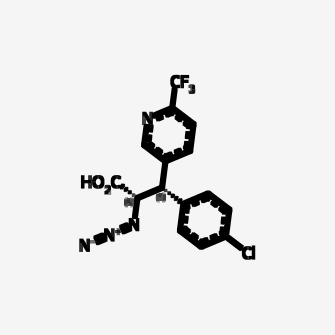 [N-]=[N+]=N[C@H](C(=O)O)[C@@H](c1ccc(Cl)cc1)c1ccc(C(F)(F)F)nc1